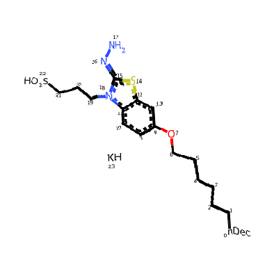 CCCCCCCCCCCCCCCCOc1ccc2c(c1)sc(=NN)n2CCCS(=O)(=O)O.[KH]